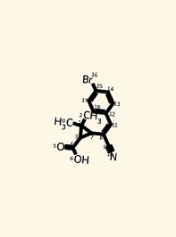 CC1(C)C(C(=O)O)C1/C(C#N)=C\c1ccc(Br)cc1